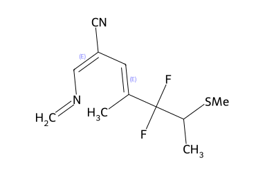 C=N/C=C(C#N)\C=C(/C)C(F)(F)C(C)SC